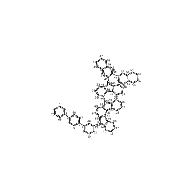 c1ccc(-c2ccc(-c3cccc(-n4c5ccccc5c5c6c7ccccc7n(-c7cccc8c7c7ccccc7n8-c7nc8ccccc8nc7-c7ccc8ccccc8c7)c6ccc54)c3)cc2)cc1